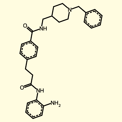 Nc1ccccc1NC(=O)CCc1ccc(C(=O)NCC2CCN(Cc3ccccc3)CC2)cc1